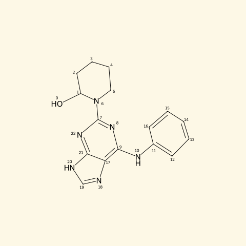 OC1CCCCN1c1nc(Nc2ccccc2)c2nc[nH]c2n1